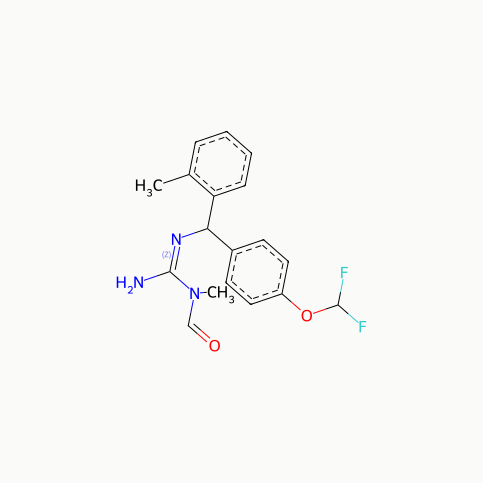 Cc1ccccc1C(/N=C(/N)N(C)C=O)c1ccc(OC(F)F)cc1